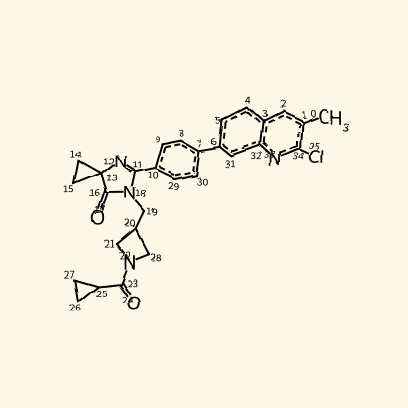 Cc1cc2ccc(-c3ccc(C4=NC5(CC5)C(=O)N4CC4CN(C(=O)C5CC5)C4)cc3)cc2nc1Cl